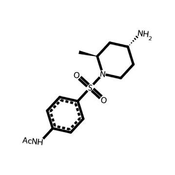 CC(=O)Nc1ccc(S(=O)(=O)N2CC[C@@H](N)C[C@@H]2C)cc1